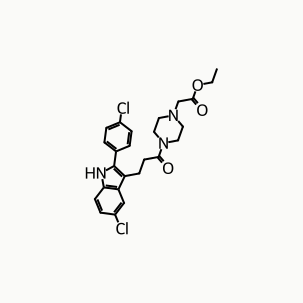 CCOC(=O)CN1CCN(C(=O)CCc2c(-c3ccc(Cl)cc3)[nH]c3ccc(Cl)cc23)CC1